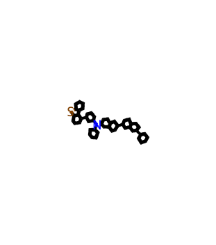 c1ccc(-c2ccc3ccc(-c4ccc5cc(N(c6ccccc6)c6cccc(-c7cccc8sc9ccccc9c78)c6)ccc5c4)cc3c2)cc1